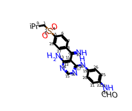 CC(C)CS(=O)(=O)c1ccc(C(=N)c2c(N)ncnc2Nc2ccc(NC=O)cc2)cc1